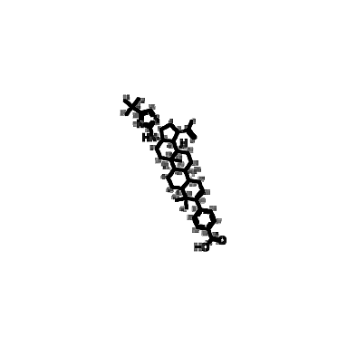 C=C(C)[C@@H]1CC[C@]2(Nc3nc(C(C)(C)C)cs3)CC[C@]3(C)[C@H](CCC4[C@@]5(C)CC=C(c6ccc(C(=O)O)cc6)C(C)(C)C5CC[C@]43C)C12